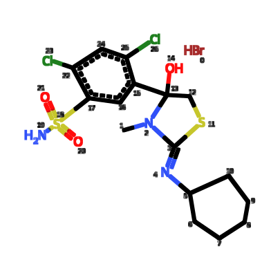 Br.CN1C(=NC2CCCCC2)SCC1(O)c1cc(S(N)(=O)=O)c(Cl)cc1Cl